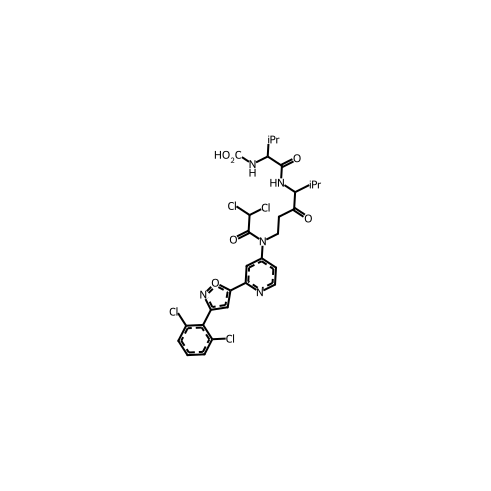 CC(C)C(NC(=O)C(NC(=O)O)C(C)C)C(=O)CCN(C(=O)C(Cl)Cl)c1ccnc(-c2cc(-c3c(Cl)cccc3Cl)no2)c1